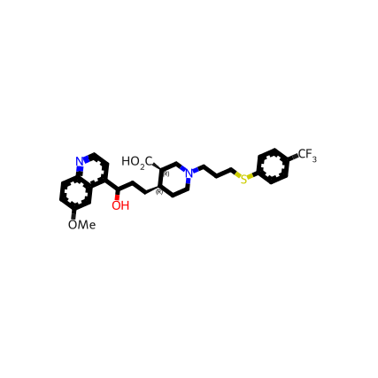 COc1ccc2nccc(C(O)CC[C@@H]3CCN(CCCSc4ccc(C(F)(F)F)cc4)C[C@@H]3C(=O)O)c2c1